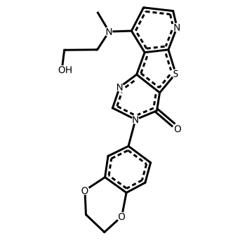 CN(CCO)c1ccnc2sc3c(=O)n(-c4ccc5c(c4)OCCO5)cnc3c12